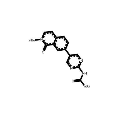 CCCCC(=O)Nc1ncc(-c2ccc3ccn(CCCC)c(=O)c3c2)cn1